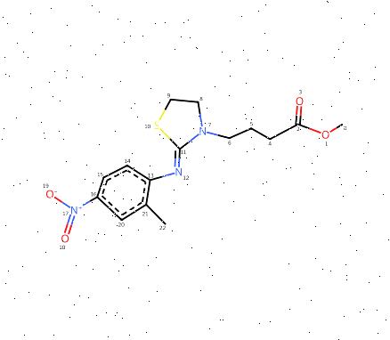 COC(=O)CCCN1CCSC1=Nc1ccc([N+](=O)[O-])cc1C